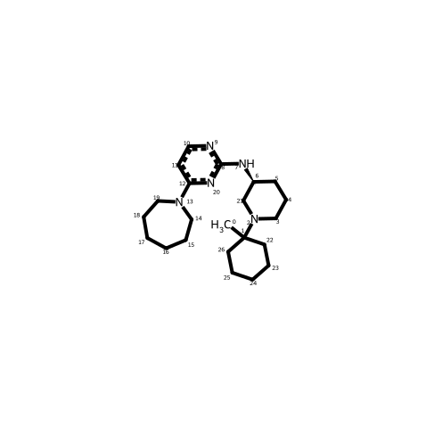 CC1(N2CCC[C@H](Nc3nccc(N4CCCCCC4)n3)C2)CCCCC1